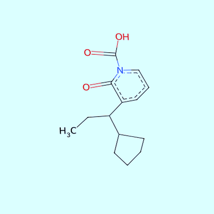 CCC(c1cccn(C(=O)O)c1=O)C1CCCC1